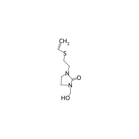 C=CSCCN1CCN(CO)C1=O